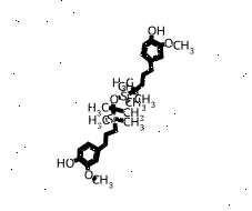 COc1cc(CCCC(C)(C)[Si](C)(C)OC(C)(C)[Si](C)(C)CCCc2ccc(O)c(OC)c2)ccc1O